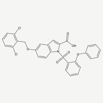 O=C(O)c1cc2cc(OCc3c(Cl)cccc3Cl)ccc2n1S(=O)(=O)c1ccccc1Oc1ccccc1